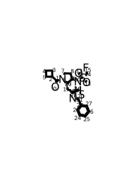 O=C(C1CCC1)N1CC[C@@H](NS(=O)(=O)CF)[C@H]1Cc1csc(-c2ccccc2)n1